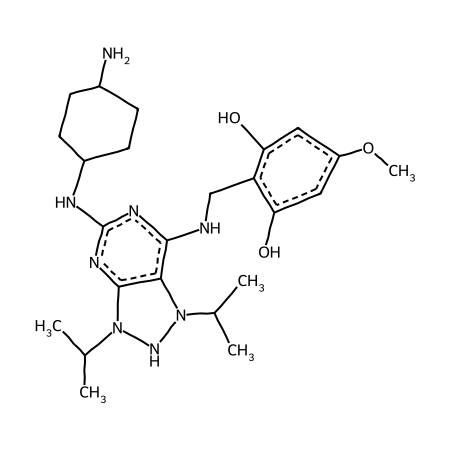 COc1cc(O)c(CNc2nc(NC3CCC(N)CC3)nc3c2N(C(C)C)NN3C(C)C)c(O)c1